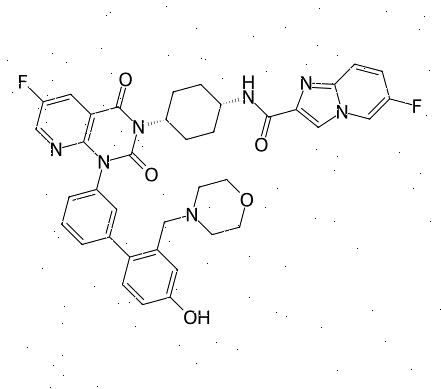 O=C(N[C@H]1CC[C@@H](n2c(=O)c3cc(F)cnc3n(-c3cccc(-c4ccc(O)cc4CN4CCOCC4)c3)c2=O)CC1)c1cn2cc(F)ccc2n1